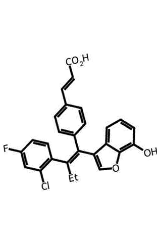 CC/C(=C(/c1ccc(/C=C/C(=O)O)cc1)c1coc2c(O)cccc12)c1ccc(F)cc1Cl